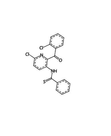 O=C(c1ccccc1Cl)c1nc(Cl)ccc1NC(=S)c1ccccc1